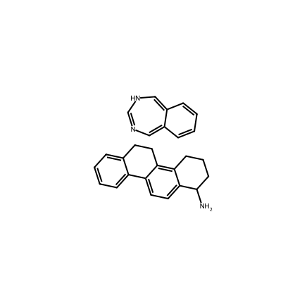 C1=NC=c2ccccc2=CN1.NC1CCCc2c1ccc1c2CCc2ccccc2-1